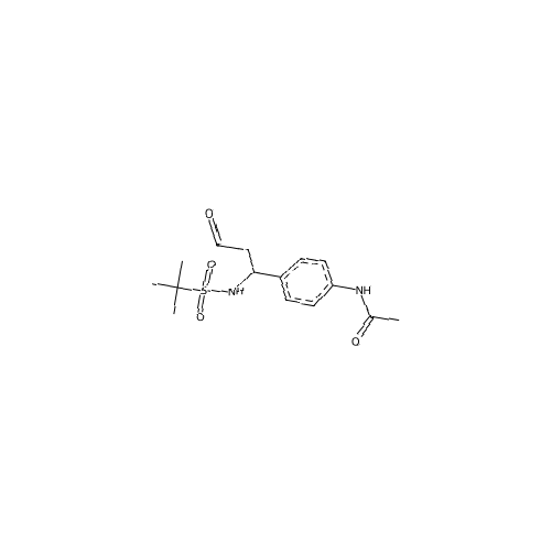 CC(=O)Nc1ccc(C(CC=O)NS(=O)(=O)C(C)(C)C)cc1